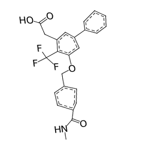 CNC(=O)c1ccc(COc2cc(-c3ccccc3)cc(CC(=O)O)c2C(F)(F)F)cc1